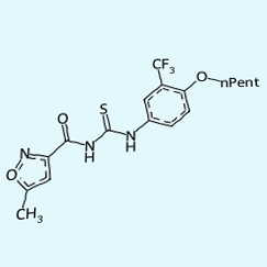 CCCCCOc1ccc(NC(=S)NC(=O)c2cc(C)on2)cc1C(F)(F)F